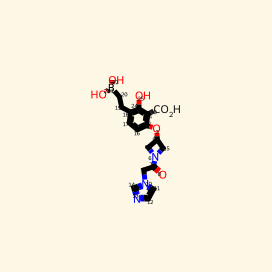 O=C(O)c1c(OC2CN(C(=O)Cn3ccnc3)C2)ccc(CCB(O)O)c1O